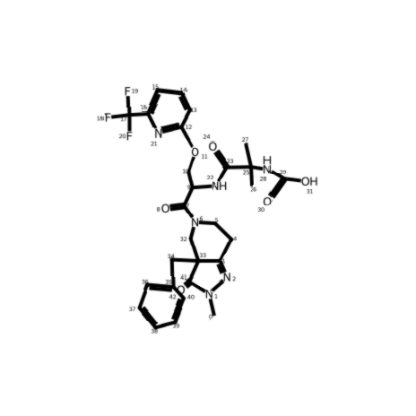 CN1N=C2CCN(C(=O)C(COc3cccc(C(F)(F)F)n3)NC(=O)C(C)(C)NC(=O)O)CC2(Cc2ccccc2)C1=O